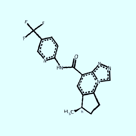 C[C@@H]1CCc2c1cc(C(=O)Nc1ccc(C(F)(F)F)cn1)c1nncn21